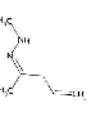 C=CC/C(C)=N\NC